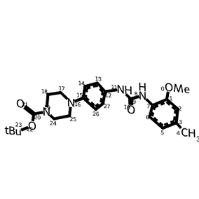 COc1cc(C)ccc1NC(=O)Nc1ccc(N2CCN(C(=O)OC(C)(C)C)CC2)cc1